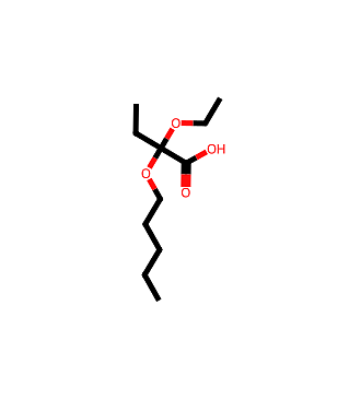 CCCCCOC(CC)(OCC)C(=O)O